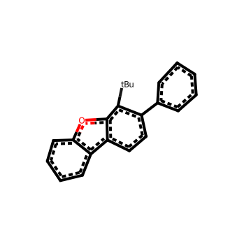 CC(C)(C)c1c(-c2ccccc2)ccc2c1oc1ccccc12